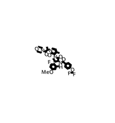 COc1cc(F)c([C@@H]2CN(c3c(C)ccn(C(C)C(=O)N4CCOCC4)c3=O)C(=O)[C@H]2NC(=O)c2ccc(OC(F)F)cc2)c(I)c1